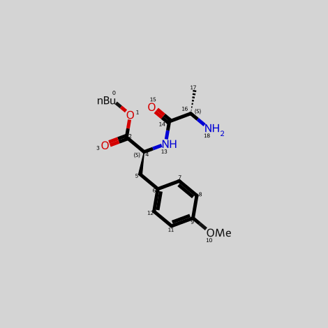 CCCCOC(=O)[C@H](Cc1ccc(OC)cc1)NC(=O)[C@H](C)N